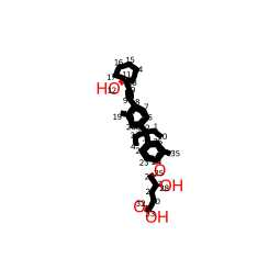 CCC(CC)(c1ccc(C#CC2(O)CCCCC2)c(C)c1)c1ccc(OC[C@@H](O)CCC(=O)O)c(C)c1